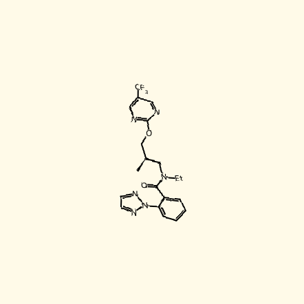 CCN(C[C@@H](C)COc1ncc(C(F)(F)F)cn1)C(=O)c1ccccc1-n1nccn1